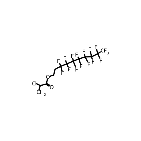 [CH2]C(Cl)C(=O)OCCC(F)(F)C(F)(F)C(F)(F)C(F)(F)C(F)(F)C(F)(F)C(F)(F)C(F)(F)F